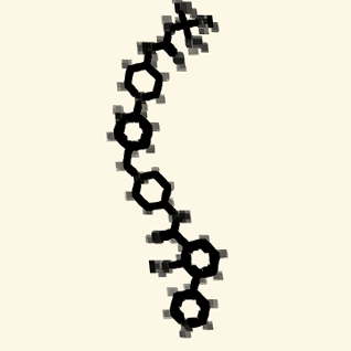 Cc1c(C(=O)NC2CCN(Cc3ccc(N4CCC(NC(=O)OC(C)(C)C)CC4)nc3)CC2)cccc1-c1ccncc1